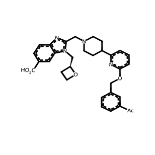 CC(=O)c1cccc(COc2cccc(C3CCN(Cc4nc5ccc(C(=O)O)cc5n4C[C@@H]4CCO4)CC3)n2)c1